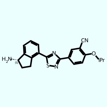 CC(C)Oc1ccc(-c2nsc(-c3cccc4c3CC[C@@H]4N)n2)cc1C#N